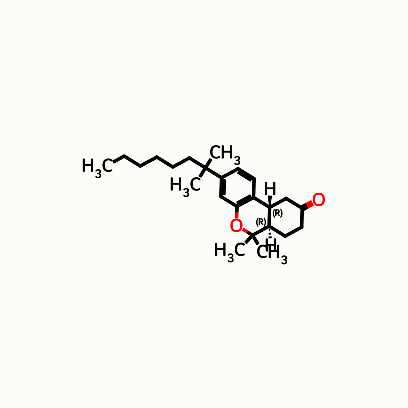 CCCCCCC(C)(C)c1ccc2c(c1)OC(C)(C)[C@@H]1CCC(=O)C[C@@H]21